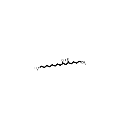 CCCCCCCCCC(O)CC(F)CCCCC